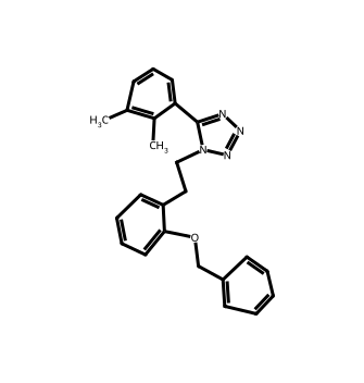 Cc1cccc(-c2nnnn2CCc2ccccc2OCc2ccccc2)c1C